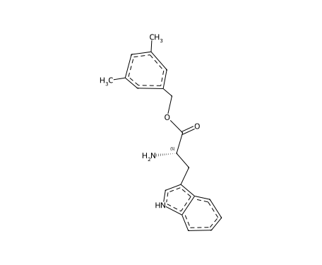 Cc1cc(C)cc(COC(=O)[C@@H](N)Cc2c[nH]c3ccccc23)c1